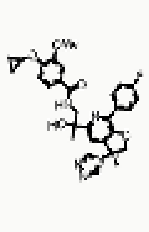 COc1cc(C(=O)NCC(C)(O)c2cc3c(c(-c4ccc(F)cc4)n2)OC[C@]3(C)n2cnnc2)ccc1OC1CC1